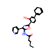 CCCCC(=O)Nc1oc(-c2ccc(-c3ccccc3)cc2O)nc1-c1cccnc1